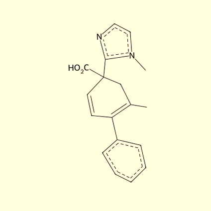 CC1=C(c2ccccc2)C=CC(C(=O)O)(c2nccn2C)C1